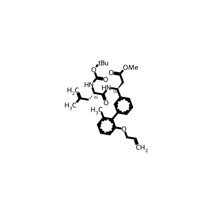 C=CCOc1cccc(C)c1-c1cccc([C@H](CC(=O)OC)NC(=O)[C@H](CC(=C)C)NC(=O)OC(C)(C)C)c1